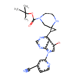 CC(C)(C)OC(=O)N1CCNC2(CC2c2ncnc3c2c(Br)cn3-c2cc(C#N)ccn2)C1